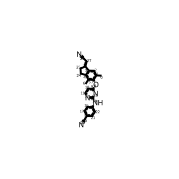 Cc1cc2c(c(C)c1Oc1ccnc(Nc3ccc(C#N)cc3)n1)CC/C2=C\C#N